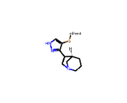 CCCCCSc1c[nH]nc1C1CN2CCC[C@H]1C2